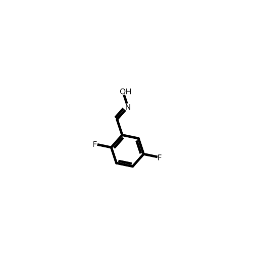 ON=Cc1cc(F)ccc1F